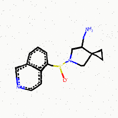 NC1CN([S+]([O-])c2cccc3cnccc23)CC12CC2